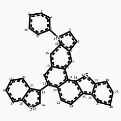 c1ccc(-n2ccc3cc4c(cc(-c5csc6ccccc56)c5ccc6c7ccccc7sc6c54)cc32)cc1